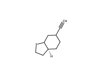 C#CC1CC[C@H]2CCSC2C1